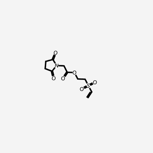 C=CS(=O)(=O)CCOC(=O)CN1C(=O)CCC1=O